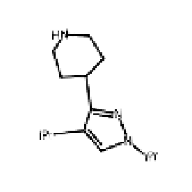 CC(C)c1cn(C(C)C)nc1C1CCNCC1